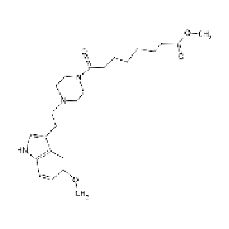 COC(=O)CCCCCCC(=O)N1CCN(CCc2c[nH]c3ccc(OC)cc23)CC1